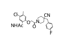 CC(=O)Nc1cc(Cl)c(C)cc1OCC(=O)N1CCC(C#N)(Cc2ccc(F)cc2)CC1